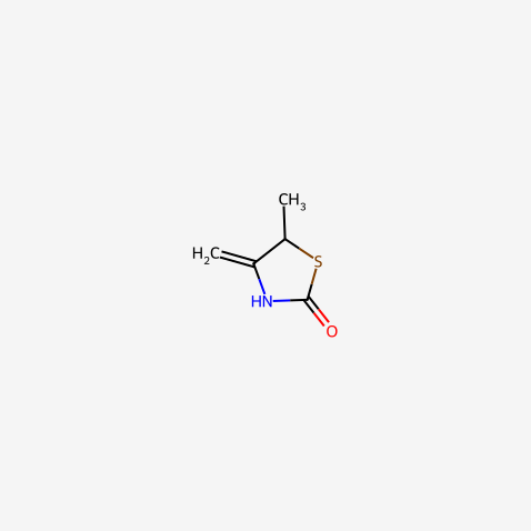 C=C1NC(=O)SC1C